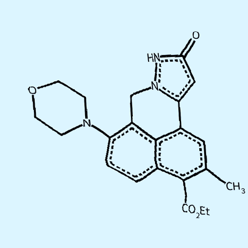 CCOC(=O)c1c(C)cc2c3c(c(N4CCOCC4)ccc13)Cn1[nH]c(=O)cc1-2